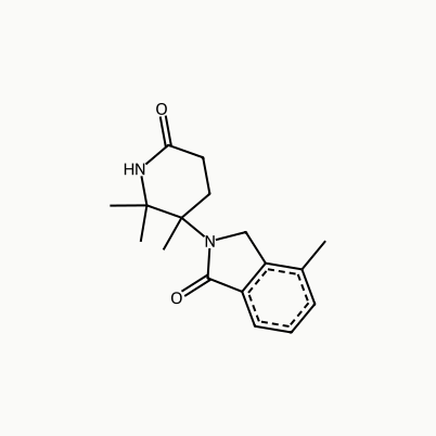 Cc1cccc2c1CN(C1(C)CCC(=O)NC1(C)C)C2=O